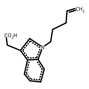 C=CCCCn1cc(CC(=O)O)c2ccccc21